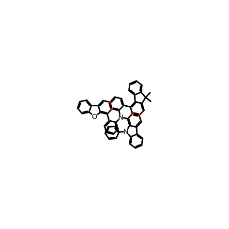 CC1(C)c2ccccc2-c2c(-c3ccccc3N(c3ccccc3-c3cccc4c3oc3ccccc34)c3cccc4c5ccccc5n(-c5ccccc5)c34)cccc21